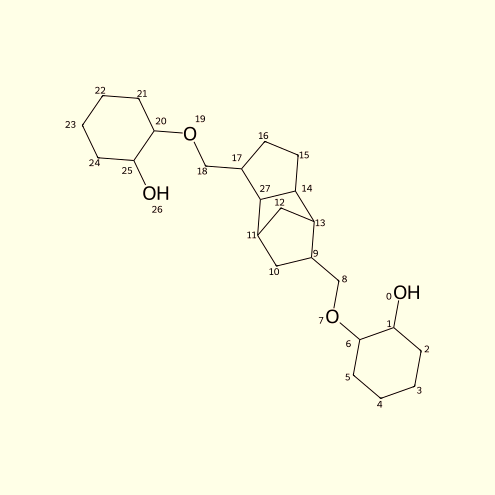 OC1CCCCC1OCC1CC2CC1C1CCC(COC3CCCCC3O)C21